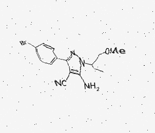 COCC(C)n1nc(-c2ccc(Br)cc2)c(C#N)c1N